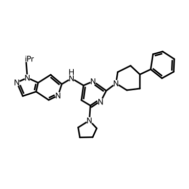 CC(C)n1ncc2cnc(Nc3cc(N4CCCC4)nc(N4CCC(c5ccccc5)CC4)n3)cc21